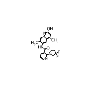 Cc1cc2nc(O)cc(C)c2cc1NC(=O)c1cccnc1N1CCC(F)(F)C1